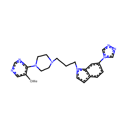 COc1cncnc1N1CCN(CCCn2ccc3ccc(-n4cnnc4)cc32)CC1